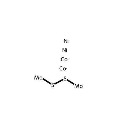 [Co].[Co].[Mo][S][S][Mo].[Ni].[Ni]